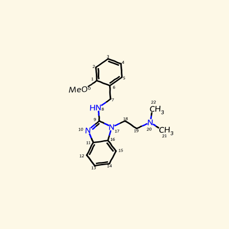 COc1ccccc1CNc1nc2ccccc2n1CCN(C)C